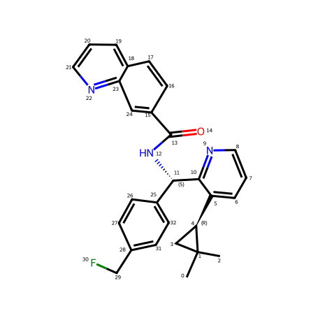 CC1(C)C[C@H]1c1cccnc1[C@@H](NC(=O)c1ccc2cccnc2c1)c1ccc(CF)cc1